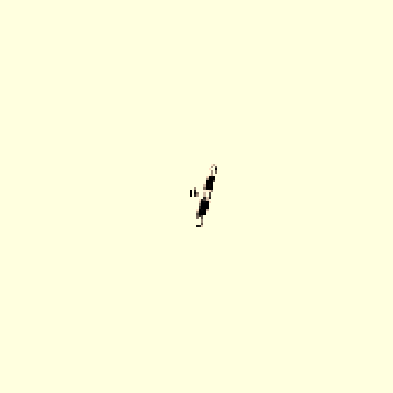 [O]=[U]=[O].[Th]